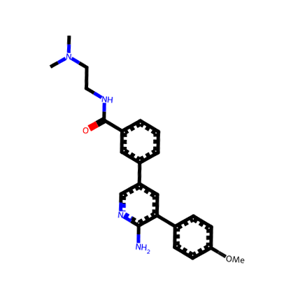 COc1ccc(-c2cc(-c3cccc(C(=O)NCCN(C)C)c3)cnc2N)cc1